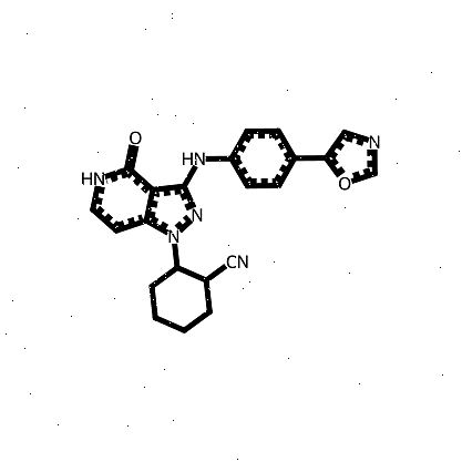 N#CC1CCCCC1n1nc(Nc2ccc(-c3cnco3)cc2)c2c(=O)[nH]ccc21